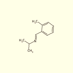 Cc1ccccc1/C=N/C(C)C